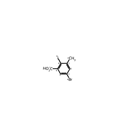 Cc1cc(Br)cc(C(=O)O)c1I